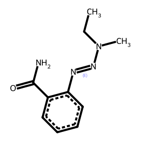 CCN(C)/N=N/c1ccccc1C(N)=O